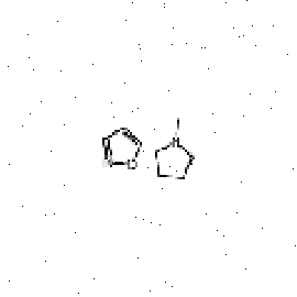 CN1CCCC1.c1cnoc1